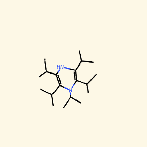 CC(C)C1=C(C(C)C)N(C(C)C)C(C(C)C)=C(C(C)C)N1